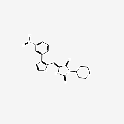 O=C1/C(=C/c2sccc2-c2cccc([N+](=O)[O-])c2)NC(=S)N1C1CCCCC1